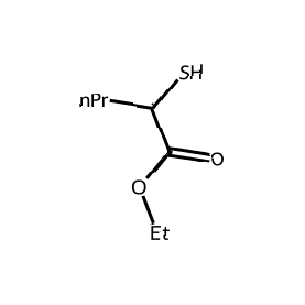 CCC[C](S)C(=O)OCC